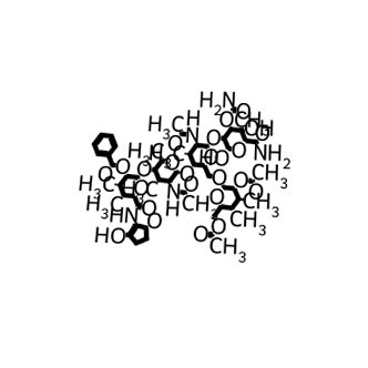 CC(=O)NC1[C@H](O[C@@H]2C(CO[C@@H]3OC(COC(C)=O)C(C)[C@H](C)C3OC(C)=O)O[C@@H](OC3C(O)OC(C(N)=O)[C@@](C)(O)[C@@H]3OC(N)=O)C(NC(C)=O)[C@H]2C)OC(C)C(O[C@@H]2OC(C(=O)NC3=C(O)CCC3=O)[C@H](C)[C@H](C)C2OC(=O)c2ccccc2)[C@@H]1C